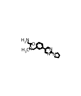 CN(Cc1cccc(-c2cnc(N3CCCC3)nc2)c1)C(=O)CN